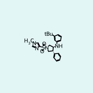 Cn1cnc(S(=O)(=O)N2C[C@@H](Nc3cccc(C(C)(C)C)c3)[C@H](c3ccccc3)C2)c1